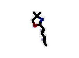 C/C=C/C=C/C1=NC(C)(C)CO1